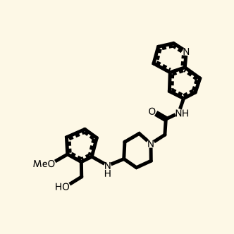 COc1cccc(NC2CCN(CC(=O)Nc3ccc4ncccc4c3)CC2)c1CO